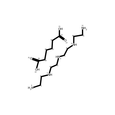 NCCNCCNCCNCCN.O=C(O)CCCCC(=O)O